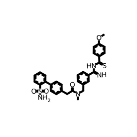 COc1ccc(C(=S)NC(=N)c2cccc(CN(C)C(=O)Cc3ccc(-c4ccccc4S(N)(=O)=O)cc3)c2)cc1